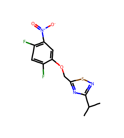 CC(C)c1nsc(COc2cc([N+](=O)[O-])c(F)cc2F)n1